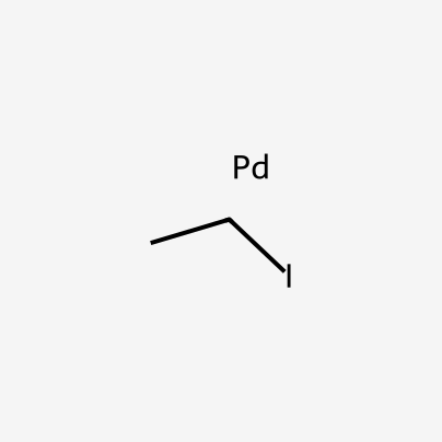 CCI.[Pd]